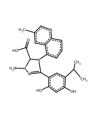 Cc1cnc2cccc(N3C(c4cc(C(C)C)c(O)cc4O)=NN(N)C3C(=O)O)c2c1